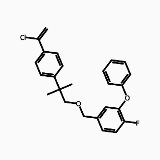 C=C(Cl)c1ccc(C(C)(C)COCc2ccc(F)c(Oc3ccccc3)c2)cc1